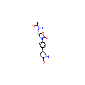 CC(=O)NC[C@H]1CN(c2ccc(C3CCC(=O)NC3)cc2)C(=O)O1